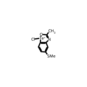 CSc1ccc2c(c1)N=C(C)O[Te+]2Cl